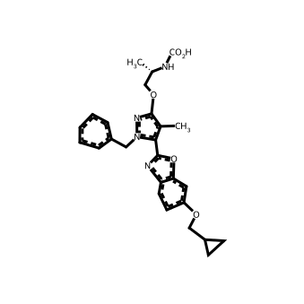 Cc1c(OC[C@H](C)NC(=O)O)nn(Cc2ccccc2)c1-c1nc2ccc(OCC3CC3)cc2o1